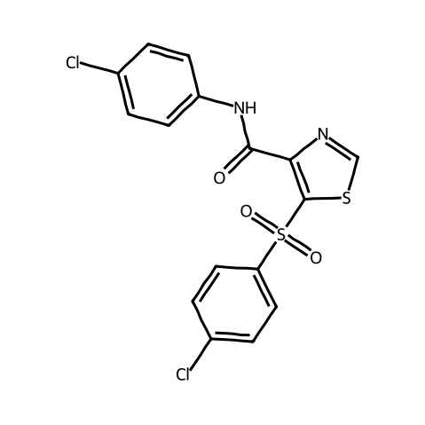 O=C(Nc1ccc(Cl)cc1)c1ncsc1S(=O)(=O)c1ccc(Cl)cc1